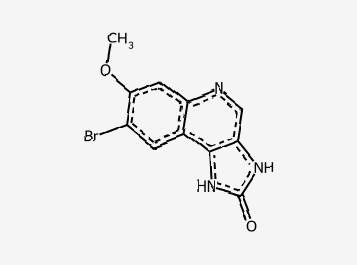 COc1cc2ncc3[nH]c(=O)[nH]c3c2cc1Br